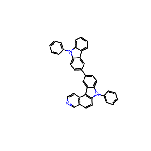 c1ccc(-n2c3ccccc3c3cc(-c4ccc5c(c4)c4c6ccncc6ccc4n5-c4ccccc4)ccc32)cc1